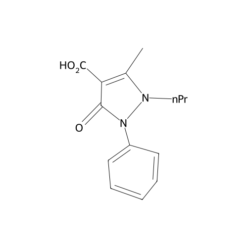 CCCn1c(C)c(C(=O)O)c(=O)n1-c1ccccc1